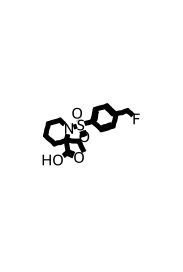 CCC1(C(=O)O)CCCCN1S(=O)(=O)c1ccc(CF)cc1